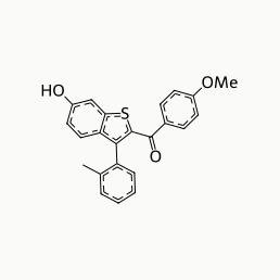 COc1ccc(C(=O)c2sc3cc(O)ccc3c2-c2ccccc2C)cc1